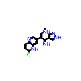 CN/C=C(\C(=N)c1cn[nH]c1)c1cnc2c(c1)NC(Cl)C=C2